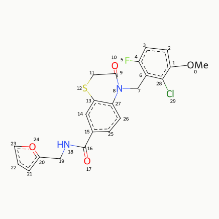 COc1ccc(F)c(CN2C(=O)CSc3cc(C(=O)NCc4ccco4)ccc32)c1Cl